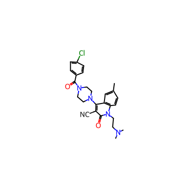 Cc1ccc2c(c1)c(N1CCN(C(=O)c3ccc(Cl)cc3)CC1)c(C#N)c(=O)n2CCN(C)C